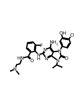 CC(C)n1c(=O)n(-c2ccc(Cl)c(O)c2)c2c(N)nc(Nc3c(F)cccc3C(=O)NCCN(C)C)nc21